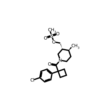 C[C@H]1CCN(C(=O)C2(c3ccc(Cl)cc3)CCC2)C[C@@H]1COS(C)(=O)=O